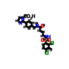 Cc1c(Cl)ccc(S(=O)(=O)NCC=CC(=O)N(C)Cc2ccc(C3=NCCN3C(=O)O)cc2)c1Cl